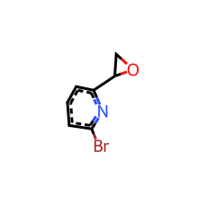 Brc1cccc(C2CO2)n1